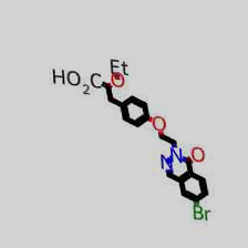 CCOC(Cc1ccc(OCCn2ncc3cc(Br)ccc3c2=O)cc1)C(=O)O